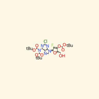 CC(C)(C)OC(=O)O[C@H]1[C@H](F)[C@H](n2cnc3c(N(C(=O)OC(C)(C)C)C(=O)OC(C)(C)C)nc(Cl)nc32)O[C@@H]1CO